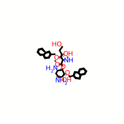 CNC([C@H](OC)O[C@@H]1C(N)C[C@@H](N)C(O)[C@H]1OCc1ccc2ccccc2c1)[C@@H](OCc1ccc2ccccc2c1)[C@H](O)CCO